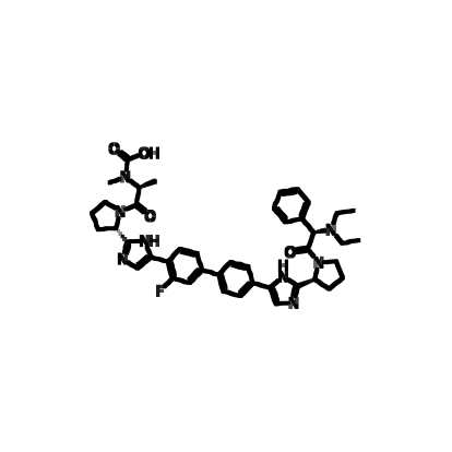 CCN(CC)[C@@H](C(=O)N1CCC[C@H]1c1ncc(-c2ccc(-c3ccc(-c4cnc([C@@H]5CCCN5C(=O)[C@H](C)N(C)C(=O)O)[nH]4)c(F)c3)cc2)[nH]1)c1ccccc1